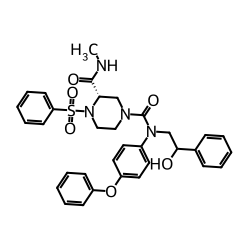 CNC(=O)[C@@H]1CN(C(=O)N(CC(O)c2ccccc2)c2ccc(Oc3ccccc3)cc2)CCN1S(=O)(=O)c1ccccc1